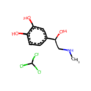 CNCC(O)c1ccc(O)c(O)c1.ClC(Cl)Cl